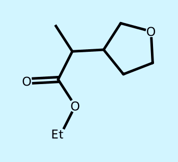 CCOC(=O)C(C)C1CCOC1